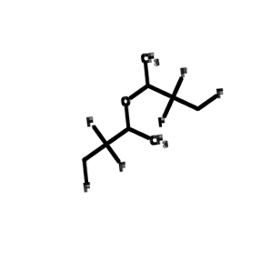 FCC(F)(F)C(OC(C(F)(F)F)C(F)(F)CF)C(F)(F)F